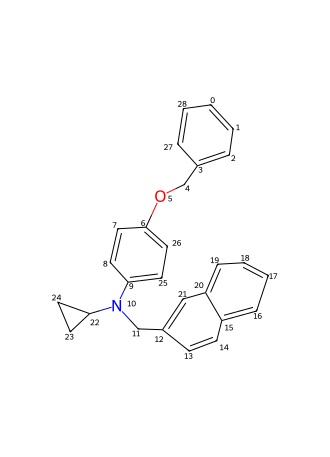 c1ccc(COc2ccc(N(Cc3ccc4ccccc4c3)C3CC3)cc2)cc1